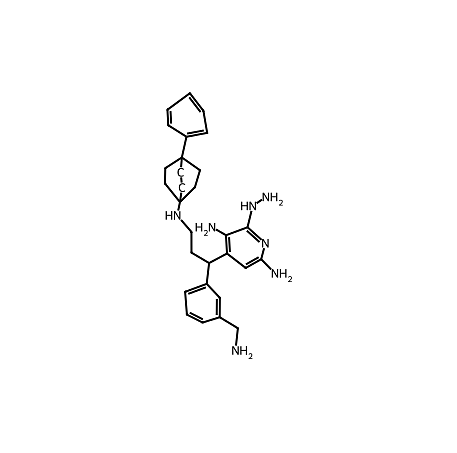 NCc1cccc(C(CCNC23CCC(c4ccccc4)(CC2)CC3)c2cc(N)nc(NN)c2N)c1